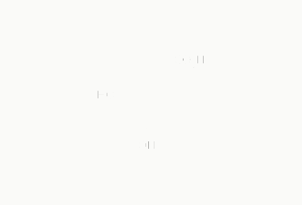 O=C(O)CCc1ccc(O)cc1CO